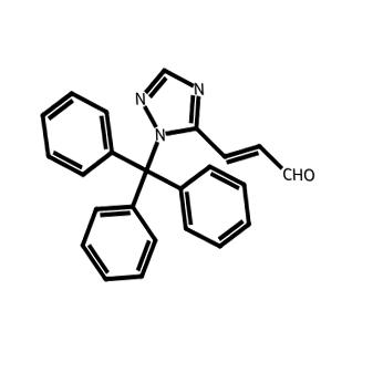 O=CC=Cc1ncnn1C(c1ccccc1)(c1ccccc1)c1ccccc1